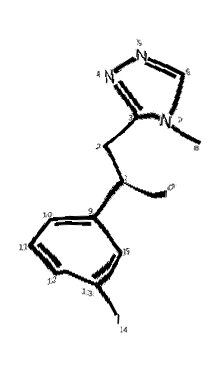 C[C@H](Cc1nncn1C)c1cccc(I)c1